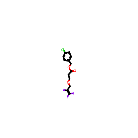 O=C(CCOCC(I)=C(I)I)OCc1ccc(Cl)cc1